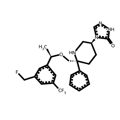 C[C@@H](OC[C@@]1(c2ccccc2)CC[C@H](n2cn[nH]c2=O)CN1)c1cc(CF)cc(C(F)(F)F)c1